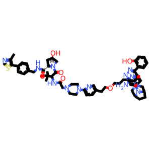 Cc1ncsc1-c1ccc(CNC(=O)[C@@H]2C[C@@H](O)CN2C(=O)C(NC(=O)CN2CCN(c3ccc(CCOCCCc4cc(N5C6CCC5CN(c5cc(-c7ccccc7O)nnc5N)C6)ccn4)cn3)CC2)C(C)(C)C)cc1